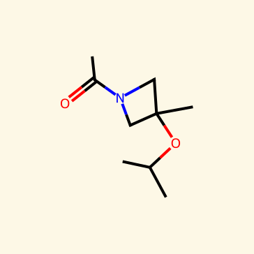 CC(=O)N1CC(C)(OC(C)C)C1